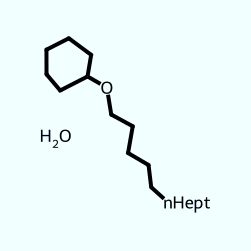 CCCCCCCCCCCCOC1CCCCC1.O